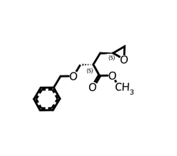 COC(=O)[C@H](COCc1ccccc1)C[C@H]1CO1